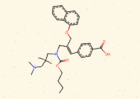 CCCCOC(=O)N(C/C(=C/c1ccc(C(=O)O)cc1)COc1cccc2ccccc12)CC(C)(C)CN(C)C